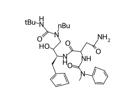 CCCCN(CC(O)[C@H](Cc1ccccc1)NC(=O)C(CC(N)=O)NC(=O)N(C)c1ccccc1)C(=O)NC(C)(C)C